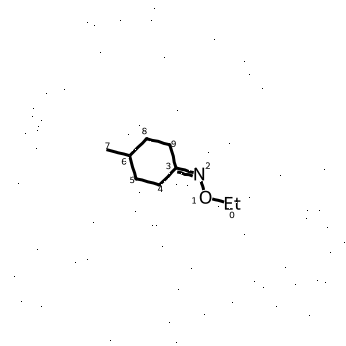 CCON=C1CCC(C)CC1